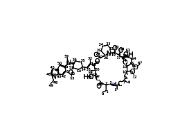 CCC1/C=C(\C)CC(C)CC(OC)C2OC(O)(C(=O)C(=O)N3CCCCC3C(=O)OC(C(C)=CC3CCC(N(C)c4ccc5c(ccn5CC)c4)C(OC)C3)C(C)C(O)CC1=O)C(C)CC2OC